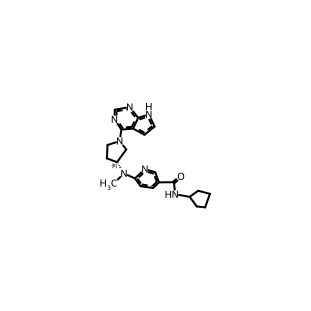 CN(c1ccc(C(=O)NC2CCCC2)cn1)[C@@H]1CCN(c2ncnc3[nH]ccc23)C1